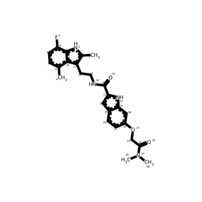 Cc1[nH]c2c(F)ccc(C)c2c1CCNC(=O)c1cc2ccc(OCC(=O)N(C)C)cc2[nH]1